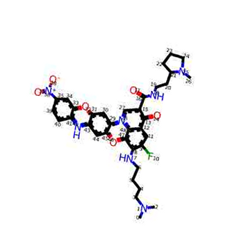 CN(C)CCCCNc1c(F)cc2c(=O)c(C(=O)NCCC3CCCN3C)cn3c4cc5oc6cc([N+](=O)[O-])ccc6[nH]c5cc4oc1c23